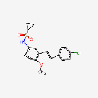 COc1ccc(NS(=O)(=O)C2CC2)cc1/C=C/c1ccc(Cl)cc1